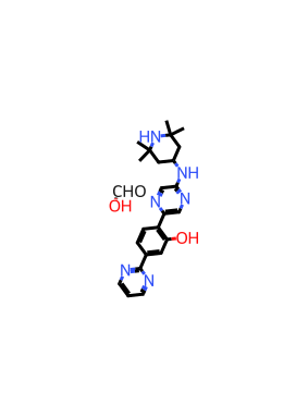 CC1(C)CC(Nc2cnc(-c3ccc(-c4ncccn4)cc3O)cn2)CC(C)(C)N1.O=CO